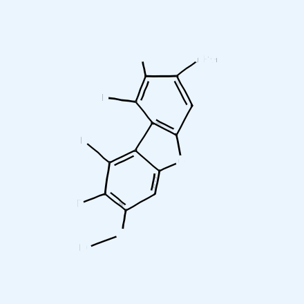 CCCCCc1cc2oc3cc(OCC)c(F)c(F)c3c2c(F)c1F